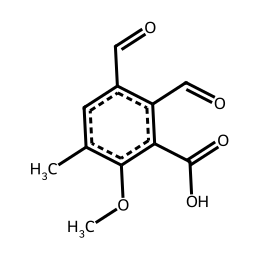 COc1c(C)cc(C=O)c(C=O)c1C(=O)O